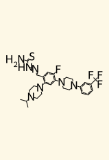 CC(C)N1CCN(c2cc(N3CCN(c4cccc(C(F)(F)F)c4)CC3)c(F)cc2C=NNC(N)=S)CC1